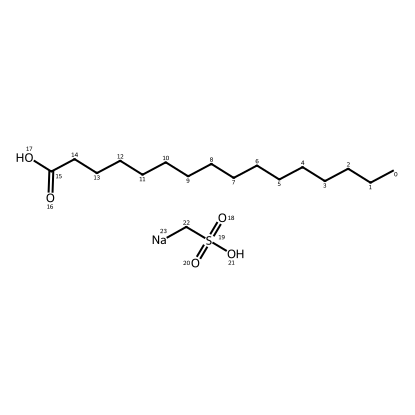 CCCCCCCCCCCCCCCC(=O)O.O=S(=O)(O)[CH2][Na]